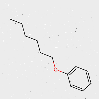 CCCC[CH]COc1ccccc1